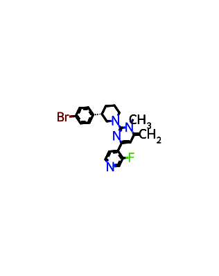 C=C1C=C(c2ccncc2F)N=C(N2CCC[C@@H](c3ccc(Br)cc3)C2)N1C